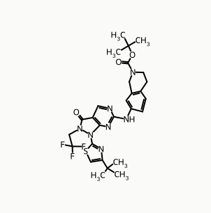 CC(C)(C)OC(=O)N1CCc2ccc(Nc3ncc4c(=O)n(CC(F)(F)F)n(-c5nc(C(C)(C)C)cs5)c4n3)cc2C1